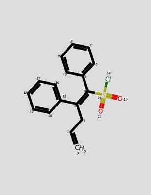 C=CCC(=C(c1ccccc1)S(=O)(=O)Cl)c1ccccc1